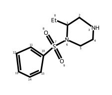 CCC1CNCCN1S(=O)(=O)c1ccccc1